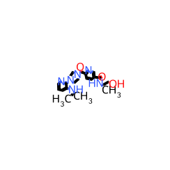 CC(C)Nc1cccnc1N1CCN(C(=O)c2ccc(C(=O)NC(C)CO)cn2)CC1